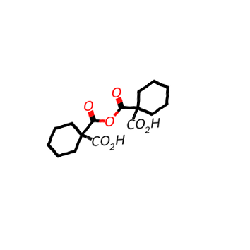 O=C(O)C1(C(=O)OC(=O)C2(C(=O)O)CCCCC2)CCCCC1